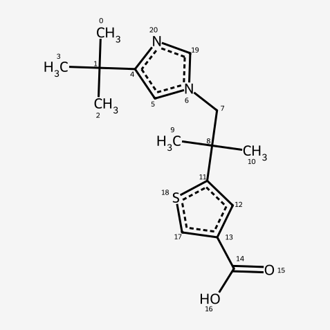 CC(C)(C)c1cn(CC(C)(C)c2cc(C(=O)O)cs2)cn1